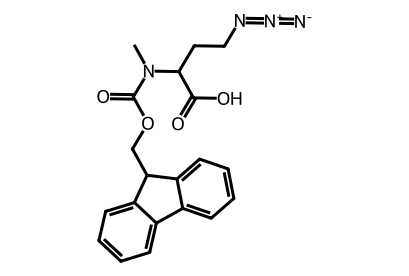 CN(C(=O)OCC1c2ccccc2-c2ccccc21)C(CCN=[N+]=[N-])C(=O)O